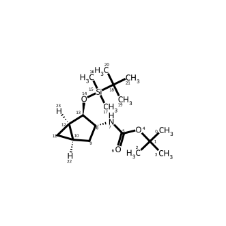 CC(C)(C)OC(=O)N[C@@H]1C[C@H]2C[C@H]2[C@H]1O[Si](C)(C)C(C)(C)C